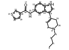 CCCCN1CC=C(c2c[nH]c3ccc(NC(=O)c4ccsc4)cc23)CC1